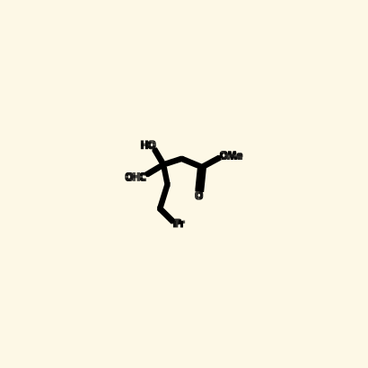 COC(=O)CC(O)(C=O)CCC(C)C